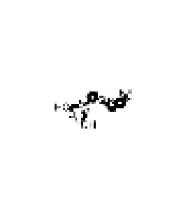 O=C(O)CCSC(SCCC(=O)O)c1cccc(OCc2ccc3ccc(C(F)(F)F)cc3n2)c1